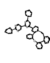 C1=C\c2ccc(-c3cc(-c4ccccc4)nc(-c4cnc(-c5ccccc5)nc4)n3)cc2-c2ccccc2Oc2ccccc2-c2ccccc2/1